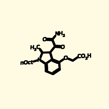 CCCCCCCCN1c2cccc(OCC(=O)O)c2C(C(=O)C(N)=O)C1C